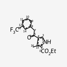 CCOC(=O)c1[nH]cc(C(=O)Cc2cccc(C(F)(F)F)c2)c1C